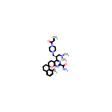 C=CC(=O)N1CCN(C[C@@H](CN(C)C)c2nc(C(N)=O)nc3c2CCC2(CCCc4cccc(C)c42)O3)CC1